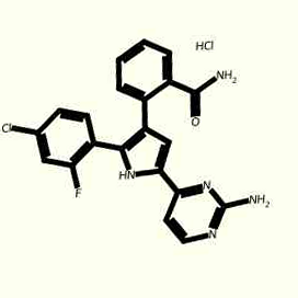 Cl.NC(=O)c1ccccc1-c1cc(-c2ccnc(N)n2)[nH]c1-c1ccc(Cl)cc1F